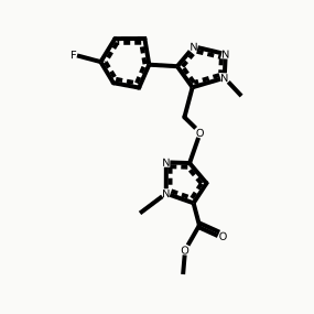 COC(=O)c1cc(OCc2c(-c3ccc(F)cc3)nnn2C)nn1C